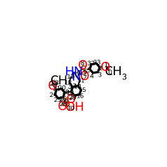 COc1ccc(S(=O)(=O)NN2CCc3c(cccc3-c3cc(OC)ccc3S(=O)(=O)O)C2)cc1